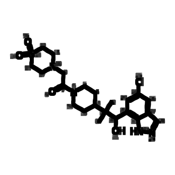 CC(C)(C1CCN(C(=O)CN2CCS(=O)(=O)CC2)CC1)C(O)c1cc(Cl)cc2cn[nH]c12